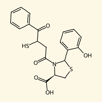 O=C(c1ccccc1)C(S)CC(=O)N1C(c2ccccc2O)SC[C@H]1C(=O)O